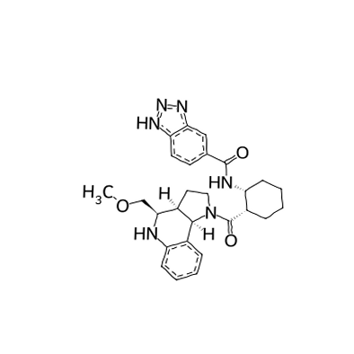 COC[C@@H]1Nc2ccccc2[C@H]2[C@@H]1CCN2C(=O)[C@H]1CCCC[C@H]1NC(=O)c1ccc2[nH]nnc2c1